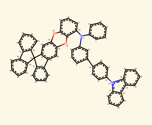 c1ccc(N(c2cccc(-c3ccc(-n4c5ccccc5c5ccccc54)cc3)c2)c2cccc3c2Oc2cc4c(cc2O3)C2(c3ccccc3-c3ccccc32)c2ccccc2-4)cc1